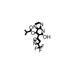 CC(C)C(=O)Oc1c(-c2cc(C(F)(F)F)no2)c(O)nc2nccnc12